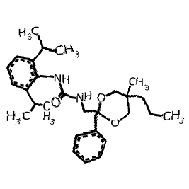 CCCC1(C)COC(CNC(=O)Nc2c(C(C)C)cccc2C(C)C)(c2ccccc2)OC1